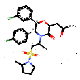 CCC(CS(=O)(=O)N1CCCC1C)N1C(=O)C(CC(=O)OC)O[C@H](c2cccc(Cl)c2)[C@H]1c1ccc(Cl)cc1